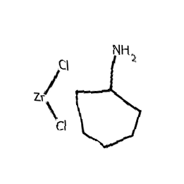 NC1CCCCC1.[Cl][Zr][Cl]